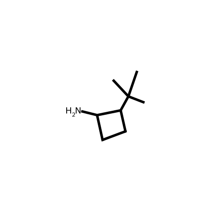 CC(C)(C)C1CCC1N